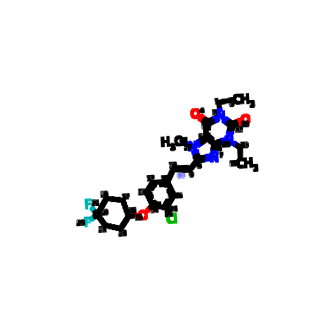 CCn1c(=O)c2c(nc(/C=C/c3ccc(OC4CCC(F)(F)CC4)c(Cl)c3)n2C)n(CC)c1=O